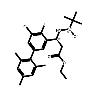 CCOC(=O)C[C@H](N[S@+]([O-])C(C)(C)C)c1cc(-c2c(C)cc(C)cc2C)cc(Cl)c1F